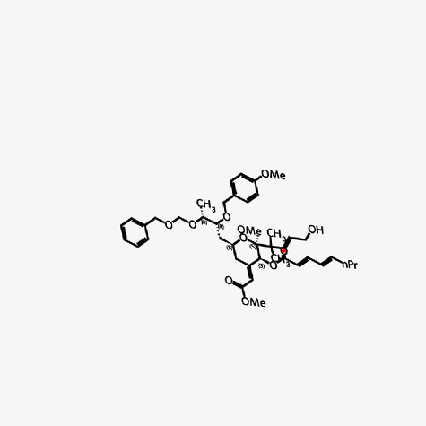 CCCC=CC=CC(=O)O[C@H]1C(=CC(=O)OC)C[C@@H](C[C@@H](OCc2ccc(OC)cc2)[C@@H](C)OCOCc2ccccc2)O[C@@]1(OC)C(C)(C)C=CCO